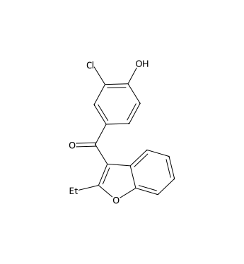 CCc1oc2ccccc2c1C(=O)c1ccc(O)c(Cl)c1